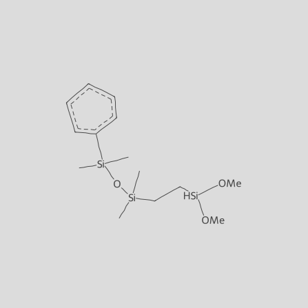 CO[SiH](CC[Si](C)(C)O[Si](C)(C)c1ccccc1)OC